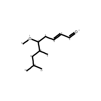 COC(CC=CC=O)C(C)CC(C)C